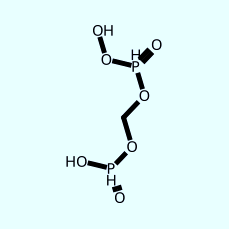 O=[PH](O)OCO[PH](=O)OO